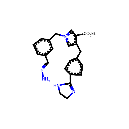 CCOC(=O)c1cn(Cc2cccc(C=NN)c2)cc1Cc1ccc(C2=NCCN2)cc1